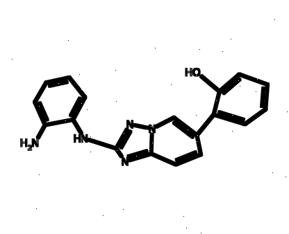 Nc1ccccc1Nc1nc2ccc(-c3ccccc3O)cn2n1